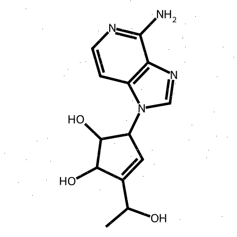 CC(O)C1=CC(n2cnc3c(N)nccc32)C(O)C1O